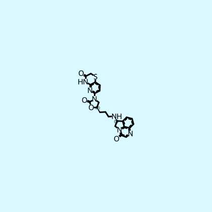 O=C1CSc2ccc(N3C[C@@H](CCCN[C@@H]4Cn5c(=O)cnc6cccc4c65)OC3=O)nc2N1